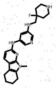 Cn1c2c(c3ccc(Nc4cncc(NCC5(F)CCNCC5)c4)nc31)CCCC2